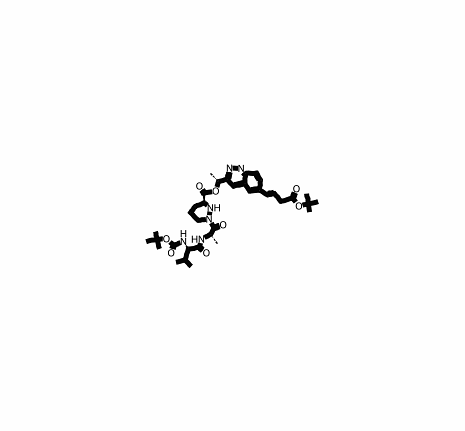 CC(C)[C@H](NC(=O)OC(C)(C)C)C(=O)N[C@@H](C)C(=O)N1CCC[C@@H](C(=O)O[C@H](C)c2cc3cc(/C=C/CC(=O)OC(C)(C)C)ccc3nn2)N1